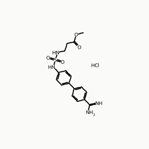 COC(=O)CCNS(=O)(=O)Nc1ccc(-c2ccc(C(=N)N)cc2)cc1.Cl